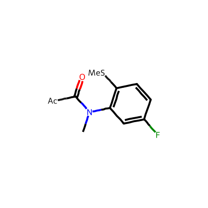 CSc1ccc(F)cc1N(C)C(=O)C(C)=O